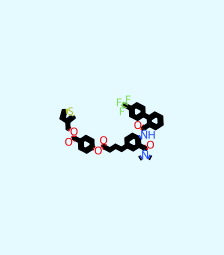 CN(C)C(=O)c1cc(CCCC(=O)Oc2ccc(C(=O)OCc3ccsc3)cc2)ccc1NC(=O)c1ccccc1-c1ccc(C(F)(F)F)cc1